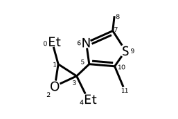 CCC1OC1(CC)c1nc(C)sc1C